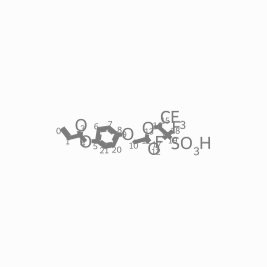 C=CC(=O)Oc1ccc(OCC(=O)OC(C(F)(F)F)C(F)(F)S(=O)(=O)O)cc1